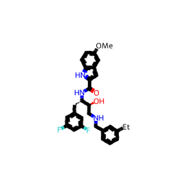 CCc1cccc(CNC[C@H](O)[C@H](Cc2cc(F)cc(F)c2)NC(=O)c2cc3cc(OC)ccc3[nH]2)c1